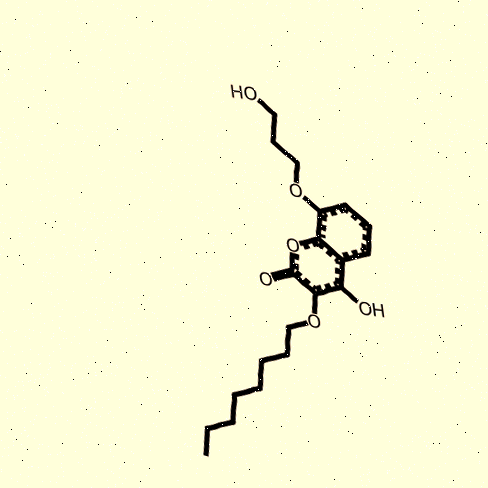 CCCCCCCCOc1c(O)c2cccc(OCCCO)c2oc1=O